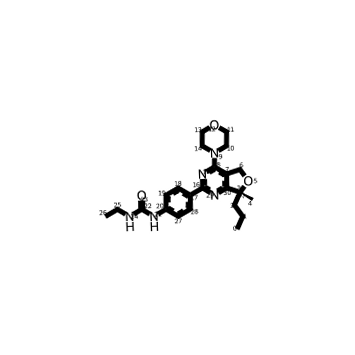 CCC[C@@]1(C)OCc2c(N3CCOCC3)nc(-c3ccc(NC(=O)NCC)cc3)nc21